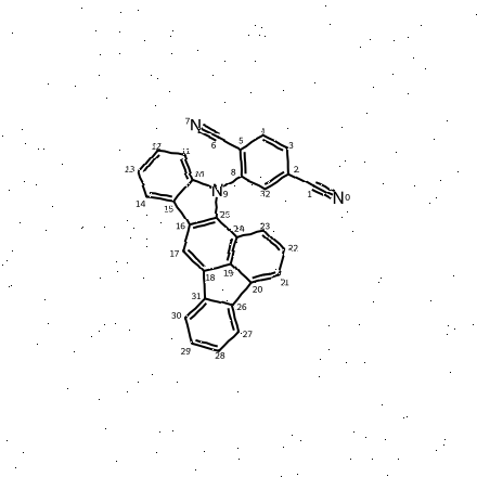 N#Cc1ccc(C#N)c(-n2c3ccccc3c3cc4c5c(cccc5c32)-c2ccccc2-4)c1